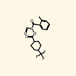 Cc1ccccc1C(=O)N(C=O)OC(=O)C1CCC(C(F)(F)F)CC1